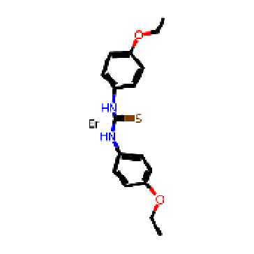 CCOc1ccc(NC(=S)Nc2ccc(OCC)cc2)cc1.[Er]